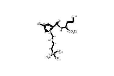 CCOC(=O)C(C=CC(C)(C)C)NC(=O)c1cc(Br)cn1COCC[Si](C)(C)C